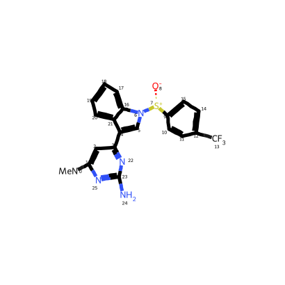 CNc1cc(-c2cn([S@+]([O-])c3ccc(C(F)(F)F)cc3)c3ccccc23)nc(N)n1